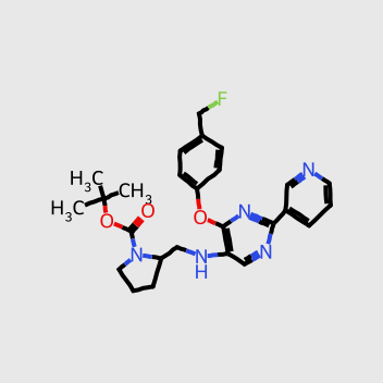 CC(C)(C)OC(=O)N1CCCC1CNc1cnc(-c2cccnc2)nc1Oc1ccc(CF)cc1